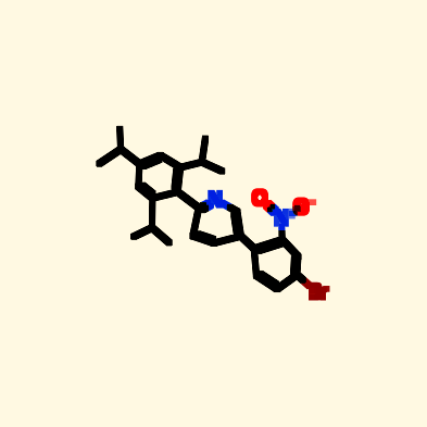 CC(C)c1cc(C(C)C)c(-c2ccc(-c3ccc(Br)cc3[N+](=O)[O-])cn2)c(C(C)C)c1